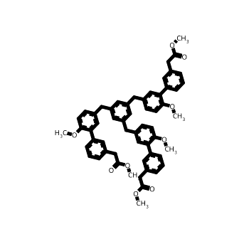 COC(=O)Cc1cccc(-c2cc(Cc3cc(Cc4ccc(OC)c(-c5cccc(CC(=O)OC)c5)c4)cc(Cc4ccc(OC)c(-c5cccc(CC(=O)OC)c5)c4)c3)ccc2OC)c1